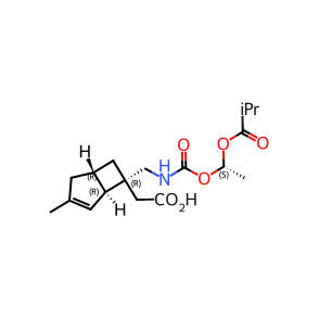 CC1=C[C@H]2[C@H](C1)C[C@@]2(CNC(=O)O[C@@H](C)OC(=O)C(C)C)CC(=O)O